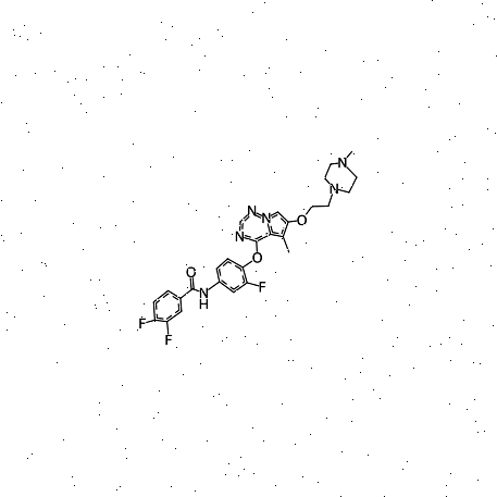 Cc1c(OCCN2CCN(C)CC2)cn2ncnc(Oc3ccc(NC(=O)c4ccc(F)c(F)c4)cc3F)c12